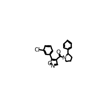 O=C(c1cnoc1-c1cccc(Cl)c1)N1CCCC1c1ccccc1